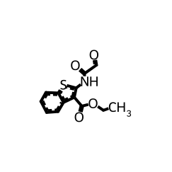 CCOC(=O)c1c(NC(=O)C=O)sc2ccccc12